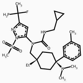 CC[C@]1(CN(C(=O)NCC2CC2)c2cc(C(C)(F)P)nn2S(C)(=O)=O)CC[C@](c2cccc(C)c2)(N(C)C)CC1